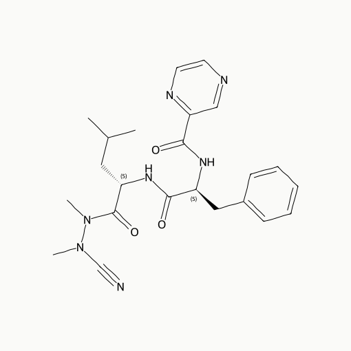 CC(C)C[C@H](NC(=O)[C@H](Cc1ccccc1)NC(=O)c1cnccn1)C(=O)N(C)N(C)C#N